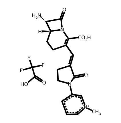 C[n+]1cccc(N2CC/C(=C\C3=C(C(=O)O)N4C(=O)[C@@H](N)[C@H]4CC3)C2=O)c1.O=C(O)C(F)(F)F